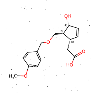 COc1ccc(COC[C@H]2[C@H](O)C=C[C@@H]2CC(=O)O)cc1